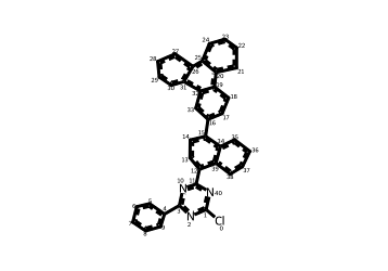 Clc1nc(-c2ccccc2)nc(-c2ccc(-c3ccc4c5ccccc5c5ccccc5c4c3)c3ccccc23)n1